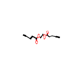 C#CCCC(=O)OCCOC(=O)CCC#C